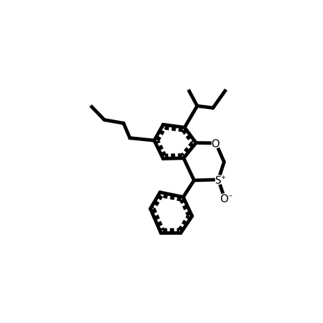 CCCCc1cc(C(C)CC)c2c(c1)C(c1ccccc1)[S+]([O-])CO2